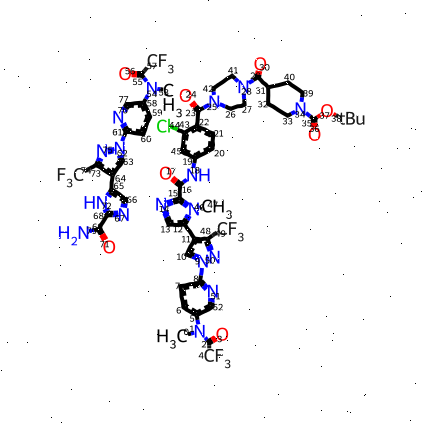 CN(C(=O)C(F)(F)F)c1ccc(-n2cc(-c3cnc(C(=O)Nc4ccc(C(=O)N5CCN(C(=O)C6CCN(C(=O)OC(C)(C)C)CC6)CC5)c(Cl)c4)n3C)c(C(F)(F)F)n2)nc1.CN(C(=O)C(F)(F)F)c1ccc(-n2cc(-c3cnc(C(N)=O)[nH]3)c(C(F)(F)F)n2)nc1